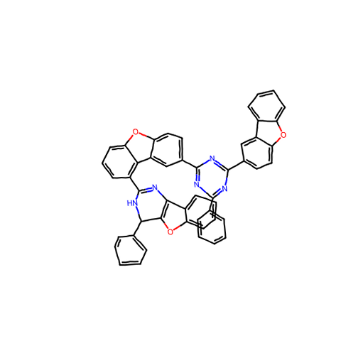 c1ccc(-c2nc(-c3ccc4oc5ccccc5c4c3)nc(-c3ccc4oc5cccc(C6=Nc7c(oc8ccccc78)C(c7ccccc7)N6)c5c4c3)n2)cc1